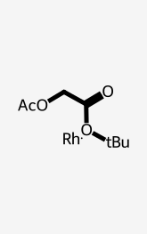 CC(=O)OCC(=O)OC(C)(C)C.[Rh]